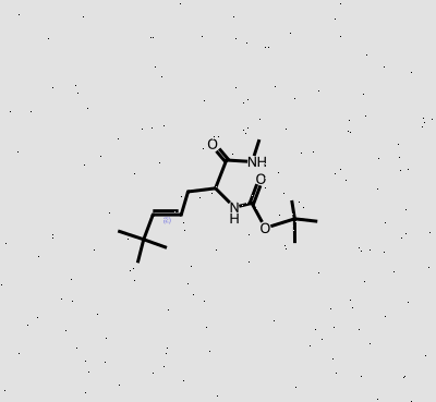 CNC(=O)C(C/C=C/C(C)(C)C)NC(=O)OC(C)(C)C